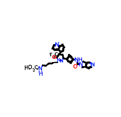 O=C(O)NCCCCCCN1N=C(c2ccc(NC(=O)N3Cc4ccncc4C3)cc2)CC(c2cccc3ncccc23)(C(F)(F)F)C1=O